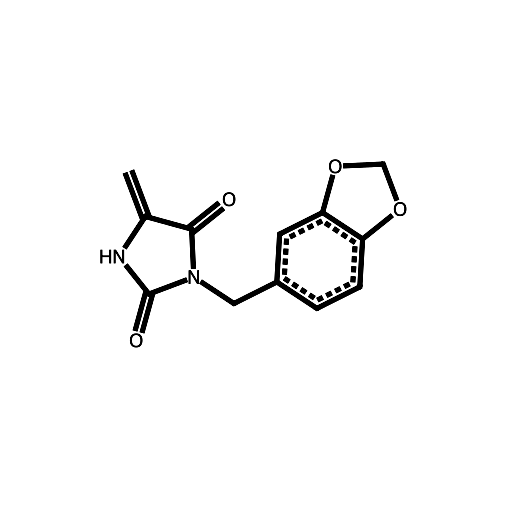 C=C1NC(=O)N(Cc2ccc3c(c2)OCO3)C1=O